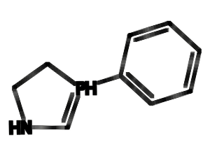 C1=[PH](c2ccccc2)CCN1